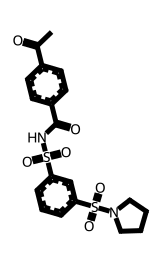 CC(=O)c1ccc(C(=O)NS(=O)(=O)c2cccc(S(=O)(=O)N3CCCC3)c2)cc1